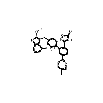 CCOc1nc2cccc(C(=O)O)c2n1Cc1ccc(-c2cc(-c3ccc(C)cn3)ccc2-c2noc(=O)[nH]2)cc1